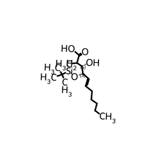 CCCCCC=C[C@H](O[SiH2]C(C)(C)C)[C@@H](O)C(C)C(=O)O